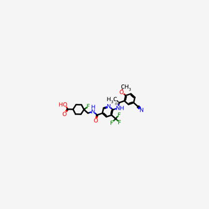 COc1ccc(C#N)cc1[C@H](C)Nc1ncc(C(=O)NCC2(F)CCC(C(=O)O)CC2)cc1C(F)(F)F